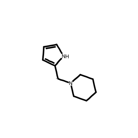 [CH](c1ccc[nH]1)N1CCCCC1